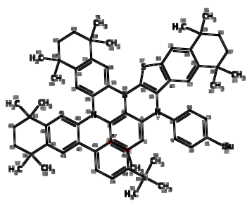 Cc1cc2c3c(c1)N(c1ccc(C(C)(C)C)cc1)c1c(sc4cc5c(cc14)C(C)(C)CCC5(C)C)B3c1cc3c(cc1N2c1cc2c(cc1-c1ccc([Si](C)(C)C)cc1)C(C)(C)CCC2(C)C)C(C)(C)CCC3(C)C